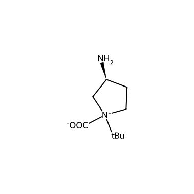 CC(C)(C)[N+]1(C(=O)[O-])CC[C@H](N)C1